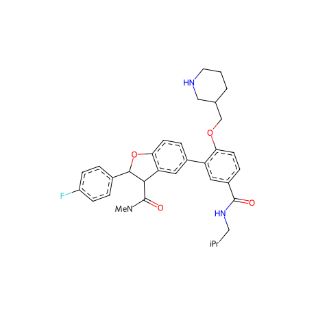 CNC(=O)C1c2cc(-c3cc(C(=O)NCC(C)C)ccc3OCC3CCCNC3)ccc2OC1c1ccc(F)cc1